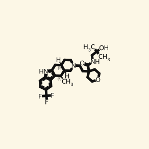 C[C@H]1c2c([nH]c3ccc(C(F)(F)F)cc23)C[C@H]2CCN(CCC3(C(=O)NCC(C)(C)O)CCOCC3)C[C@@H]21